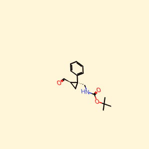 CC(C)(C)OC(=O)NC[C@]1(c2ccccc2)C[C@H]1C=O